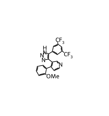 COc1ccccc1-c1ccncc1-c1nn[nH]c1-c1cc(C(F)(F)F)cc(C(F)(F)F)c1